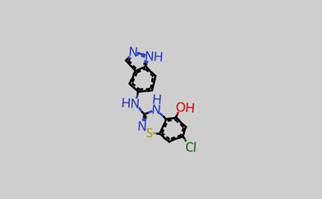 Oc1cc(Cl)cc2c1NC(Nc1ccc3[nH]ncc3c1)=NS2